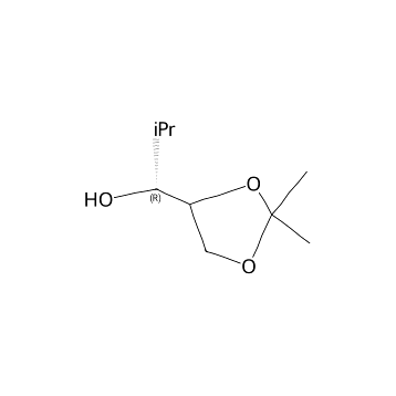 CC(C)[C@@H](O)C1COC(C)(C)O1